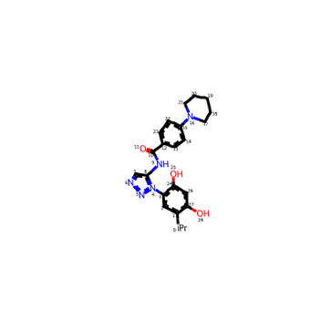 CC(C)c1cc(-n2nncc2NC(=O)c2ccc(N3CCCCC3)cc2)c(O)cc1O